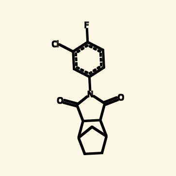 O=C1C2C3CCC(C3)C2C(=O)N1c1ccc(F)c(Cl)c1